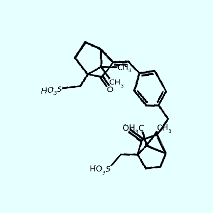 CC1(C)C2CCC1(CS(=O)(=O)O)C(=O)/C2=C\c1ccc(CC2C(=O)C3(CS(=O)(=O)O)CCC2C3(C)C)cc1